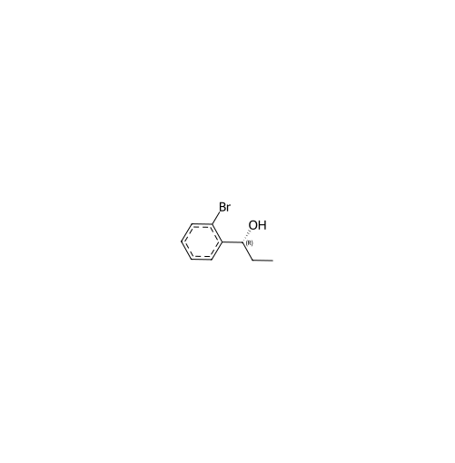 CC[C@@H](O)c1ccccc1Br